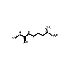 CCCNC(=N)NCCC[C@@H](N)C(=O)O